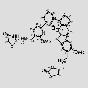 COc1cc2c(cc1CNC[C@@H]1CCC(=O)N1)CCC2=Cc1cccc(-c2cccc(-c3ccc(CNC[C@@H]4CCC(=O)N4)c(OC)n3)c2Cl)c1Cl